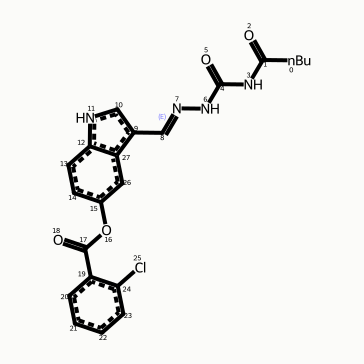 CCCCC(=O)NC(=O)N/N=C/c1c[nH]c2ccc(OC(=O)c3ccccc3Cl)cc12